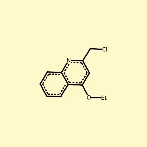 CCOc1cc(CCl)nc2ccccc12